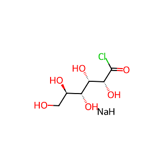 O=C(Cl)[C@H](O)[C@@H](O)[C@H](O)[C@H](O)CO.[NaH]